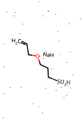 C=CCOCCCS(=O)(=O)O.[NaH]